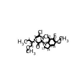 CCC(COC)n1cc(Cl)nc(N2CCc3cc(OC)c(F)c(Cl)c32)c1=O